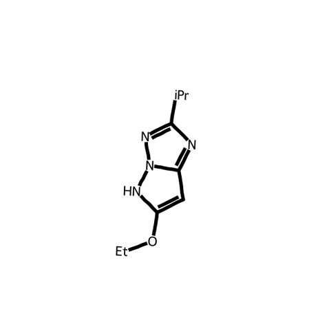 CCOc1cc2nc(C(C)C)nn2[nH]1